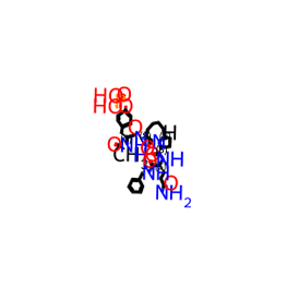 CC(=O)N[C@@H](Cc1ccc(OP(=O)(O)O)cc1)C(=O)N[C@H]1CCCC[C@H]2CC[C@@H](C(=O)N[C@@H](CCC(N)=O)C(=O)NCc3ccccc3)N2C1=O